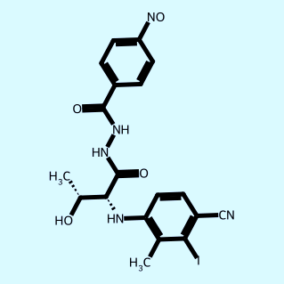 Cc1c(N[C@@H](C(=O)NNC(=O)c2ccc(N=O)cc2)[C@@H](C)O)ccc(C#N)c1I